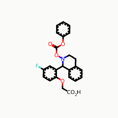 O=C(O)COc1ccc(F)cc1C1c2ccccc2CCN1OC(=O)Oc1ccccc1